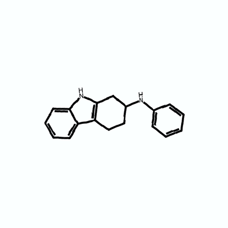 c1ccc(NC2CCc3c([nH]c4ccccc34)C2)cc1